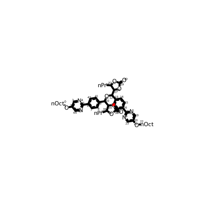 CCCCCCCCOc1cnc(-c2ccc(C(OC(c3ccc(-c4ncc(OCCCCCCCC)cn4)cc3)C3OC(=O)OC3CCC)C3OC(=O)OC3CCC)cc2)nc1